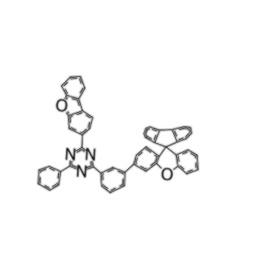 c1ccc(-c2nc(-c3cccc(-c4ccc5c(c4)Oc4ccccc4C54c5ccccc5-c5ccccc54)c3)nc(-c3ccc4c(c3)oc3ccccc34)n2)cc1